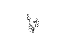 O=C1CCc2ccc(Nc3nc(N4CC(c5ccc(Cl)cc5)C4)nc4c3S(=O)(=O)CCC4)cc2N1